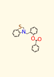 O=C(Oc1ccccc1CN1CSc2ccccc21)c1ccccc1